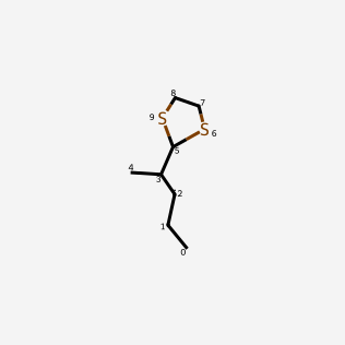 CC[CH]C(C)C1SCCS1